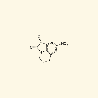 O=C1C(=O)N2CCCc3cc([N+](=O)[O-])cc1c32